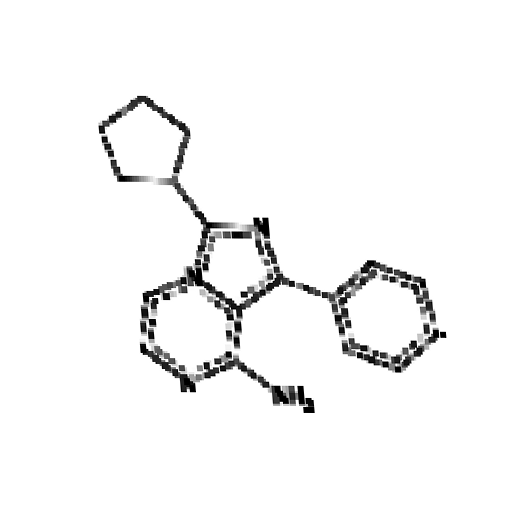 Nc1nccn2c(C3CCCC3)nc(-c3cc[c]cc3)c12